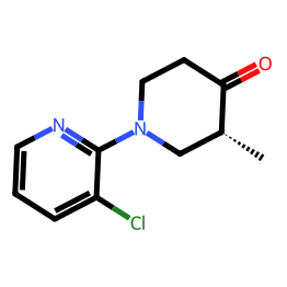 C[C@@H]1CN(c2ncccc2Cl)CCC1=O